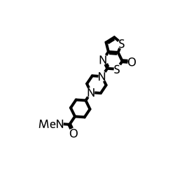 CNC(=O)C1CCC(N2CCN(c3nc4ccsc4c(=O)s3)CC2)CC1